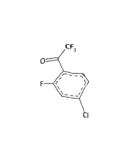 O=C(c1ccc(Cl)cc1F)C(F)(F)F